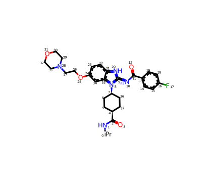 CC(C)NC(=O)[C@H]1CC[C@@H](n2/c(=N/C(=O)c3ccc(F)cc3)[nH]c3ccc(OCCN4CCOCC4)cc32)CC1